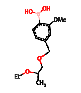 CCOC(C)COCc1ccc(B(O)O)c(OC)c1